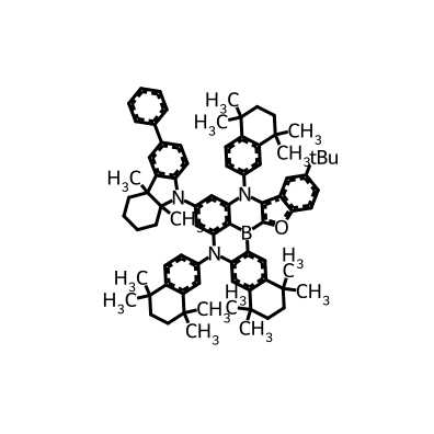 CC(C)(C)c1ccc2oc3c(c2c1)N(c1ccc2c(c1)C(C)(C)CCC2(C)C)c1cc(N2c4ccc(-c5ccccc5)cc4C4(C)CCCCC24C)cc2c1B3c1cc3c(cc1N2c1ccc2c(c1)C(C)(C)CCC2(C)C)C(C)(C)CCC3(C)C